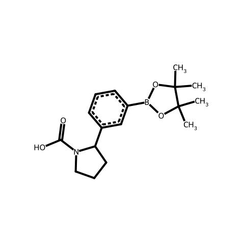 CC1(C)OB(c2cccc(C3CCCN3C(=O)O)c2)OC1(C)C